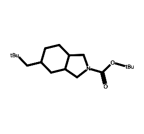 CC(C)(C)CC1CCC2CN(C(=O)OC(C)(C)C)CC2C1